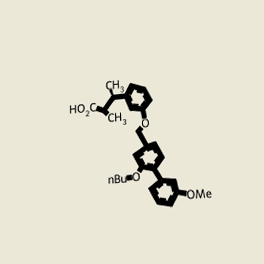 CCCCOc1cc(COc2cccc([C@H](C)C(C)C(=O)O)c2)ccc1-c1cccc(OC)c1